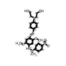 COc1cc(NN(C)c2ccc([N+](=O)[O-])cc2)c(OC)cc1/N=N/c1ccc(N(CCO)CCO)cc1